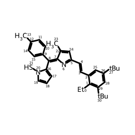 CCc1c(/C=C/C2=NC(=C(/c3ccc(C)cc3)c3cccn3S)/C(C)=C2)cc(C(C)(C)C)cc1C(C)(C)C